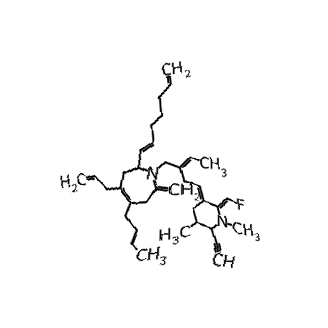 C#CC1C(C)CC(=CC/C(=C\C)CN2C(=C)CC(CCCC)=C(CC=C)CC2C=CCCCC=C)/C(=C/F)N1C